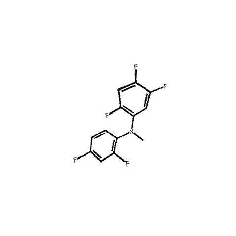 CN(c1ccc(F)cc1F)c1cc(F)c(F)cc1F